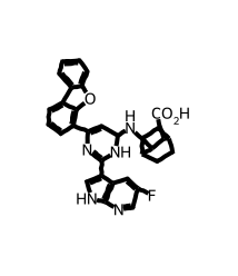 O=C(O)C1C2CCC(CC2)C1NC1C=C(c2cccc3c2oc2ccccc23)N=C(c2c[nH]c3ncc(F)cc23)N1